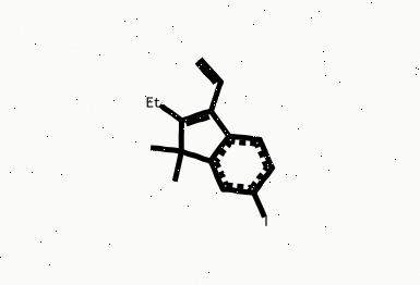 C=CC1=C(CC)C(C)(C)c2cc(I)ccc21